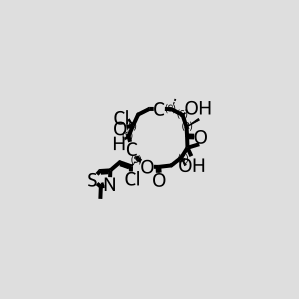 Cc1nc(C=C(Cl)[C@@H]2C[C@@H]3O[C@]3(Cl)CCC[C@H](C)[C@H](O)[C@@H](C)C(=O)C(C)(C)[C@@H](O)CC(=O)O2)cs1